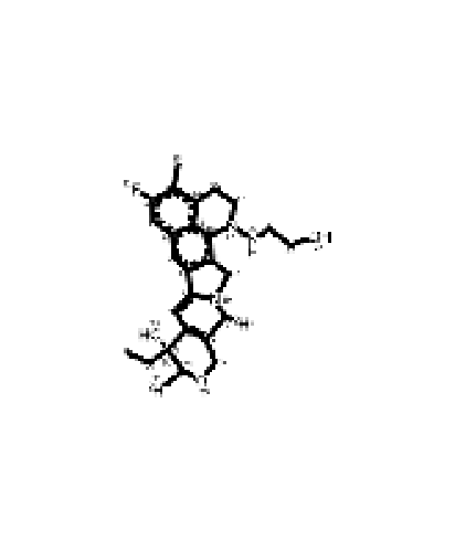 [2H]C1C2=C(C=C3c4cc5cc(F)c(C)c6c5c(c4CN31)N(NCCO)CC6)[C@@](O)(CC)C([2H])OC2